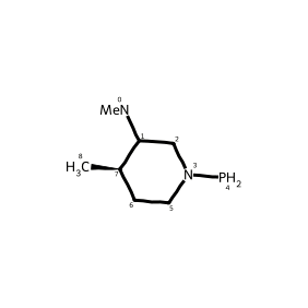 CNC1CN(P)CC[C@H]1C